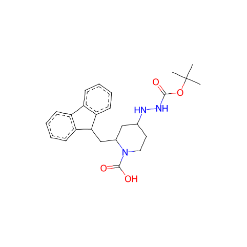 CC(C)(C)OC(=O)NNC1CCN(C(=O)O)C(CC2c3ccccc3-c3ccccc32)C1